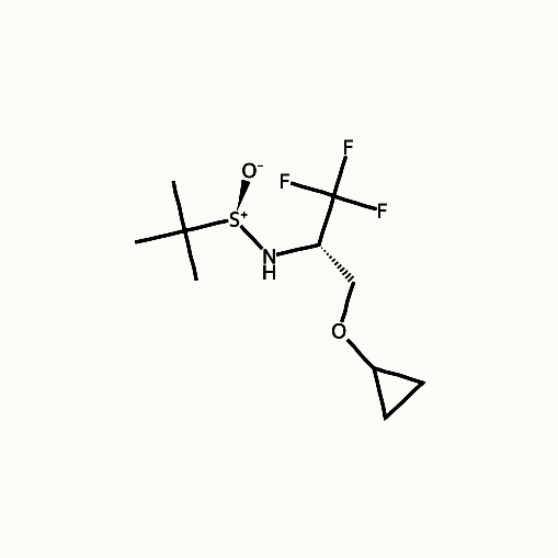 CC(C)(C)[S@@+]([O-])N[C@@H](COC1CC1)C(F)(F)F